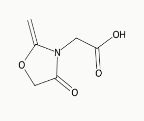 C=C1OCC(=O)N1CC(=O)O